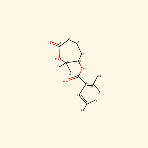 CC(C)=CC(C(=O)OC1CCCC(=O)OC1(C)C)=C(C)C